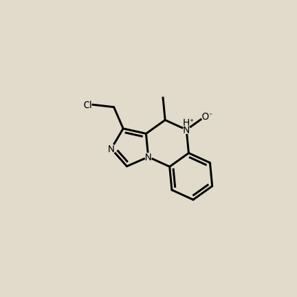 CC1c2c(CCl)ncn2-c2ccccc2[NH+]1[O-]